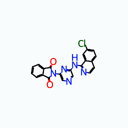 O=C1c2ccccc2C(=O)N1c1cncc(Nc2nccc3ccc(Cl)cc23)n1